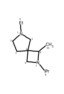 CCN1CCC2(C1)CN(C(C)C)C2C